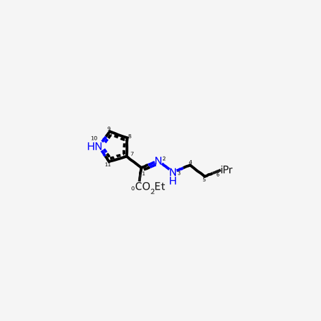 CCOC(=O)C(=NNCCC(C)C)c1cc[nH]c1